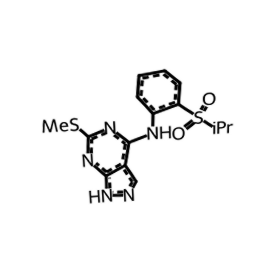 CSc1nc(Nc2ccccc2S(=O)(=O)C(C)C)c2cn[nH]c2n1